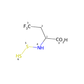 O=C(O)C(CC(F)(F)F)NSS